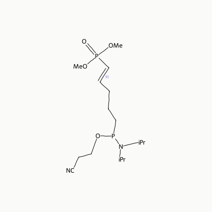 COP(=O)(/C=C/CCCP(OCCC#N)N(C(C)C)C(C)C)OC